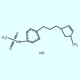 CN1C=CN(CCCc2ccc(NS(C)(=O)=O)cc2)C1.Cl